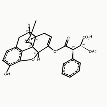 CC(=O)O[C@@H](C(=O)O)[C@H](C(=O)OC1=CC[C@@]2(O)[C@H]3Cc4ccc(O)c5c4[C@@]2(CCC3C)[C@H]1O5)c1ccccc1